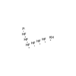 F.F.F.F.F.F.[KH].[P]